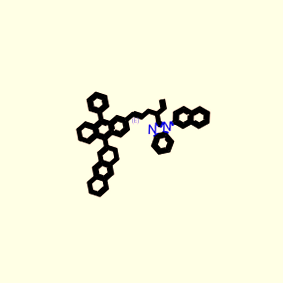 C=CC(C/C=C/c1ccc2c(C3=Cc4cc5c(cc4CC3)C=CCC5)c3c(c(-c4ccccc4)c2c1)=CCCC=3)c1nc2ccccc2n1-c1ccc2ccccc2c1